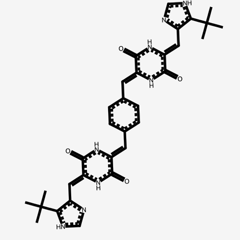 CC(C)(C)c1[nH]cnc1/C=c1\[nH]c(=O)/c(=C/c2ccc(/C=c3\[nH]c(=O)/c(=C/c4nc[nH]c4C(C)(C)C)[nH]c3=O)cc2)[nH]c1=O